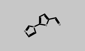 O=Cc1ccc(-n2ccnc2)s1